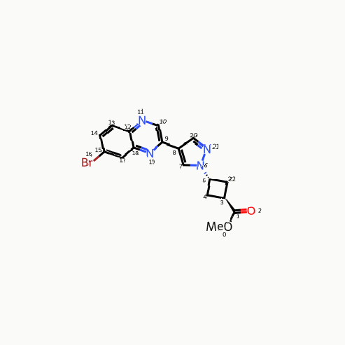 COC(=O)[C@H]1C[C@H](n2cc(-c3cnc4ccc(Br)cc4n3)cn2)C1